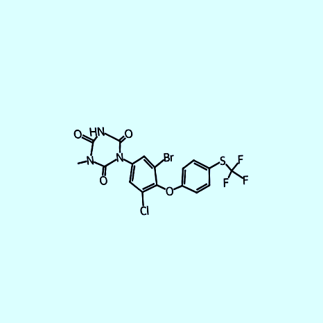 Cn1c(=O)[nH]c(=O)n(-c2cc(Cl)c(Oc3ccc(SC(F)(F)F)cc3)c(Br)c2)c1=O